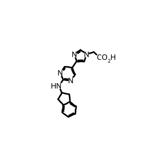 O=C(O)Cn1cnc(-c2cnc(NC3Cc4ccccc4C3)nc2)c1